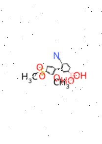 CCS(=O)(=O)c1ccc(-c2cc(B(O)O)ccc2C#N)c(OC)c1